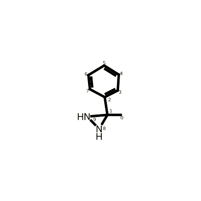 CC1(c2ccccc2)NN1